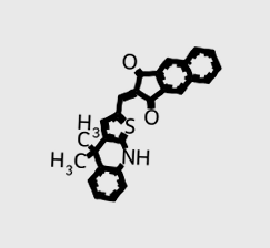 CC1(C)c2ccccc2Nc2sc(C=C3C(=O)c4cc5ccccc5cc4C3=O)cc21